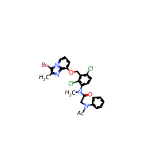 CC(=O)N(CC(=O)N(C)c1ccc(Cl)c(COc2cccn3c(Br)c(C)nc23)c1Cl)c1ccccc1